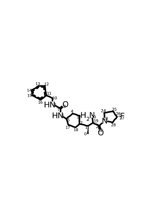 C[C@@H](C1CCC(NC(=O)NCc2ccccc2)CC1)C(N)C(=O)N1CC[C@H](F)C1